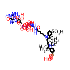 CC[N+]1=C(/C=C/C=C2/N(CCCCCC(=O)NCCNP(=O)(O)OP(=O)(O)OP(=O)(O)OCC3OC(n4cnc5c(=O)[nH]c(N)nc54)C(O)C3O)c3ccc(S(=O)(=O)O)cc3C2(C)C)C(C)(C)c2cc(SOOO)ccc21